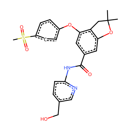 CC1(C)Cc2c(Oc3ccc(S(C)(=O)=O)cc3)cc(C(=O)Nc3ccc(CO)cn3)cc2O1